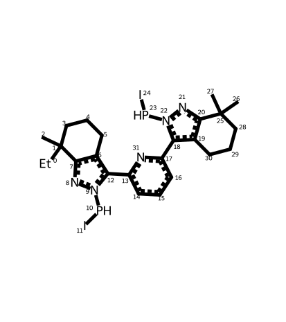 CCC1(C)CCCc2c1nn(PI)c2-c1cccc(-c2c3c(nn2PI)C(C)(C)CCC3)n1